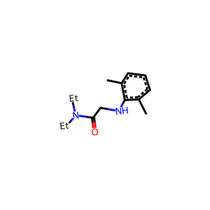 CCN(CC)C(=O)CNc1c(C)cccc1C